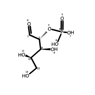 O=C[C@H](OP(=O)(O)O)[C@@H](O)[C@H](O)CO